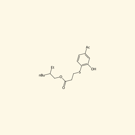 CCCCC(CC)COC(=O)CCSc1ccc(C(C)=O)cc1O